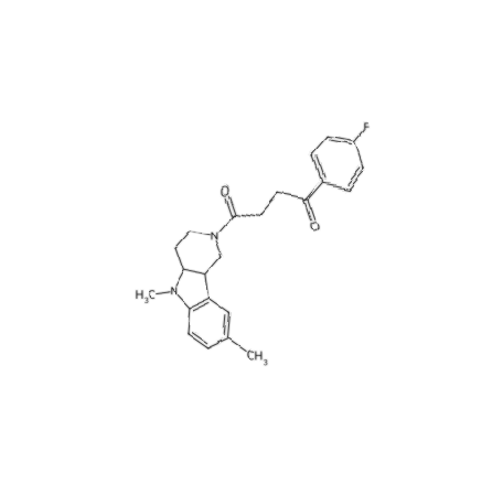 Cc1ccc2c(c1)C1CN(C(=O)CCC(=O)c3ccc(F)cc3)CCC1N2C